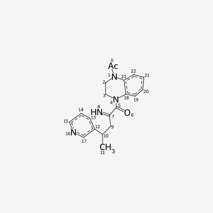 CC(=O)N1CCN(C(=O)C(=N)CC(C)c2cccnc2)c2ccccc21